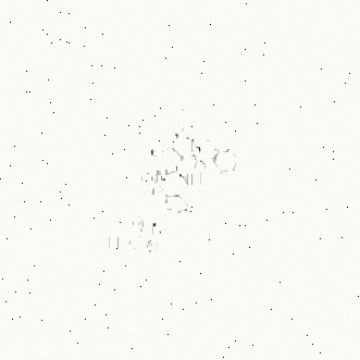 CS(=O)(=O)NCc1csc2c1S(=O)(=O)N=C(C1=C(O)C3C4CCC(C4)C3N(Cc3ccccc3)C1=O)N2